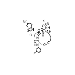 O=C1N[C@]2(C(=O)NS(=O)(=O)C3CC3)C[C@H]2/C=C\CCCCC[C@H](Nc2cccc(F)c2)C(=O)N2C[C@H](Oc3nc4ccc(Br)cc4s3)C[C@@H]12